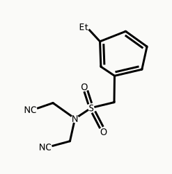 CCc1cccc(CS(=O)(=O)N(CC#N)CC#N)c1